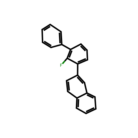 Fc1c(-c2ccccc2)cccc1-c1ccc2ccccc2c1